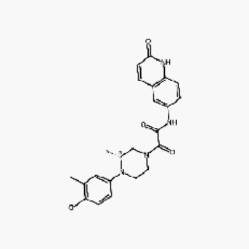 Cc1cc(N2CCN(C(=O)C(=O)Nc3ccc4[nH]c(=O)ccc4c3)C[C@H]2C)ccc1Cl